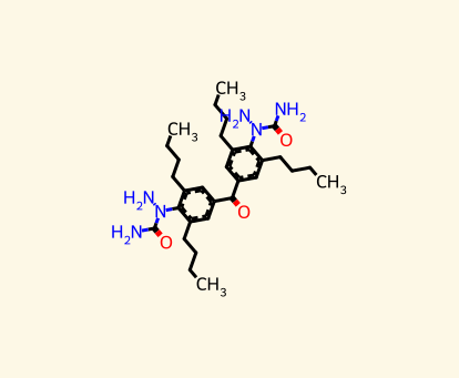 CCCCc1cc(C(=O)c2cc(CCCC)c(N(N)C(N)=O)c(CCCC)c2)cc(CCCC)c1N(N)C(N)=O